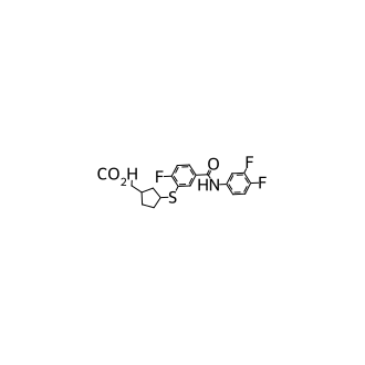 O=C(O)CC1CCC(Sc2cc(C(=O)Nc3ccc(F)c(F)c3)ccc2F)C1